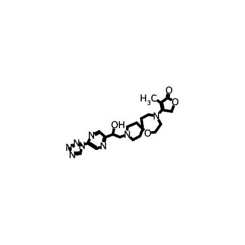 CC1=C(N2CCOC3(CCN(CC(O)c4cnc(-n5cnnn5)cn4)CC3)CC2)COC1=O